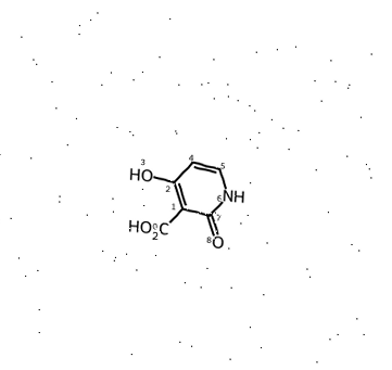 O=C(O)c1c(O)cc[nH]c1=O